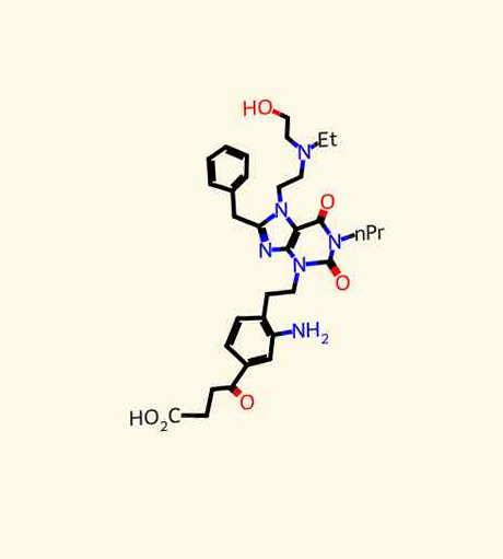 CCCn1c(=O)c2c(nc(Cc3ccccc3)n2CCN(CC)CCO)n(CCc2ccc(C(=O)CCC(=O)O)cc2N)c1=O